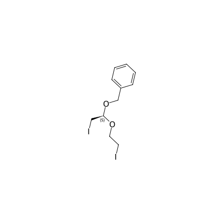 ICCO[C@@H](CI)OCc1ccccc1